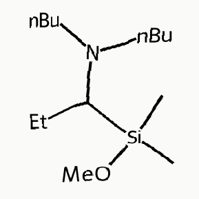 CCCCN(CCCC)C(CC)[Si](C)(C)OC